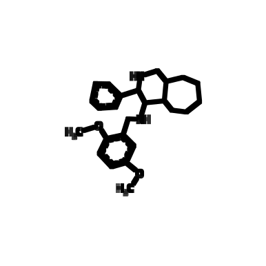 COc1ccc(OC)c(CNC2C(c3ccccc3)NCC3CCCCCC32)c1